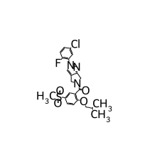 CC(C)COc1ccc(S(C)(=O)=O)cc1C(=O)N1Cc2cn(-c3cc(Cl)ccc3F)nc2C1